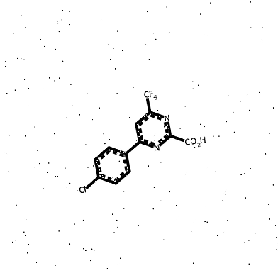 O=C(O)c1nc(-c2ccc(Cl)cc2)cc(C(F)(F)F)n1